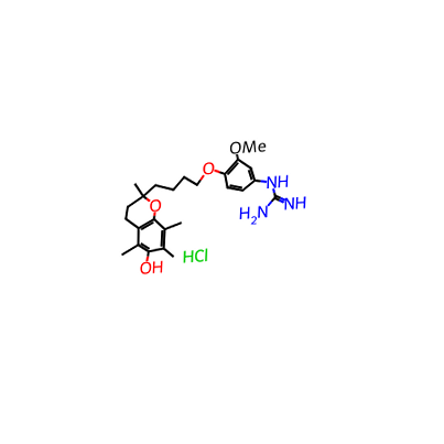 COc1cc(NC(=N)N)ccc1OCCCCC1(C)CCc2c(C)c(O)c(C)c(C)c2O1.Cl